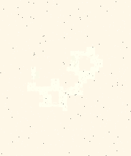 O=Cc1nnc(Cc2ccccc2)o1